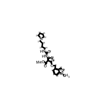 COC(=O)c1c(OCc2cccc3c2cnn3C)nsc1NC(=O)NCCCCN1CCCC1